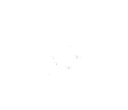 NC(=O)c1c(-c2ccccc2)nn(C(F)(F)F)c1N